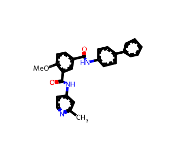 COc1ccc(C(=O)Nc2ccc(-c3ccccc3)cc2)cc1C(=O)Nc1ccnc(C)c1